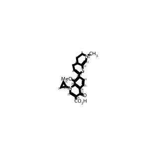 COc1c(C2=CCC3CCN(C)C=C3S2)ccc2c(=O)c(C(=O)O)cn(C3CC3)c12